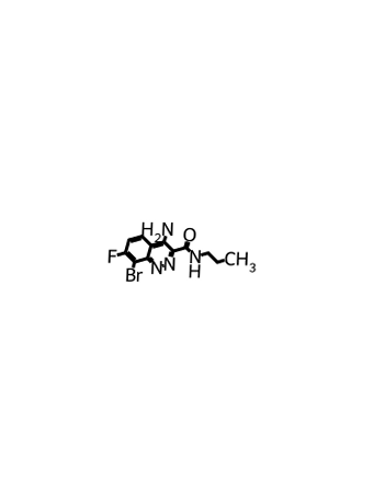 CCCNC(=O)c1nnc2c(Br)c(F)ccc2c1N